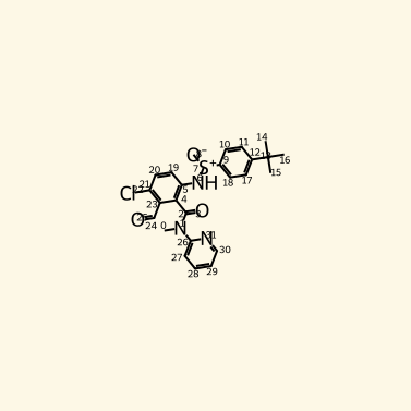 CN(C(=O)c1c(N[S+]([O-])c2ccc(C(C)(C)C)cc2)ccc(Cl)c1C=O)c1ccccn1